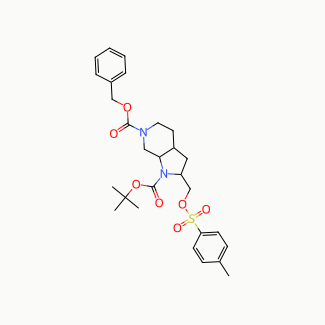 Cc1ccc(S(=O)(=O)OCC2CC3CCN(C(=O)OCc4ccccc4)CC3N2C(=O)OC(C)(C)C)cc1